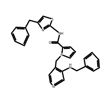 O=C(Nc1nc(Cc2ccccc2)cs1)c1cccn1Cc1ccncc1NCc1ccccc1